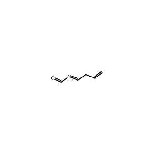 C=CC/C=N/C=O